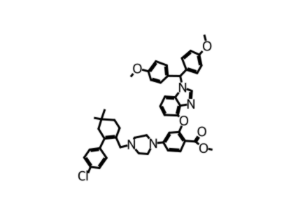 COC(=O)c1ccc(N2CCN(CC3=C(c4ccc(Cl)cc4)CC(C)(C)CC3)CC2)cc1Oc1cccc2c1ncn2C(c1ccc(OC)cc1)c1ccc(OC)cc1